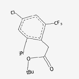 CC(C)c1cc(Cl)cc(C(F)(F)F)c1CC(=O)OC(C)(C)C